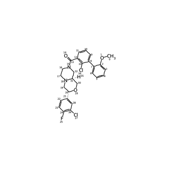 COc1ccccc1-c1cccc(C(=O)N2CCN3C[C@@H](c4ccc(F)c(Cl)c4)OC[C@@H]3C2)c1Cl